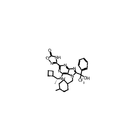 CC1CCC(Cn2c(C(O)(c3ccccc3)C(F)(F)F)nc3nc(-c4noc(=O)[nH]4)nc(N[C@H](C)C4CCC4)c32)CC1